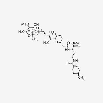 COC(=O)[C@H](CCNC(=O)N1CCN(C)CC1)NC(=O)C[C@H]1CC[C@H](C)[C@@H](/C(C)=C/C=C/[C@@H](C)CC(C)(C)OC(C)[C@@H](OC)[C@@H](C)O)O1